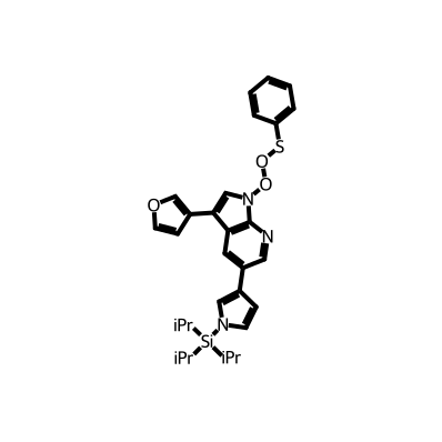 CC(C)[Si](C(C)C)(C(C)C)n1ccc(-c2cnc3c(c2)c(-c2ccoc2)cn3OOSc2ccccc2)c1